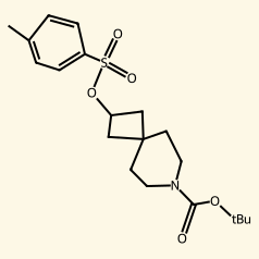 Cc1ccc(S(=O)(=O)OC2CC3(CCN(C(=O)OC(C)(C)C)CC3)C2)cc1